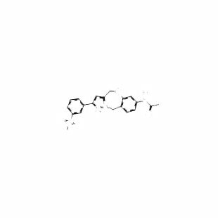 CC(=O)Nc1ccc2c(c1)OCc1cc(-c3cccc(S(C)(=O)=O)c3)nn1C2